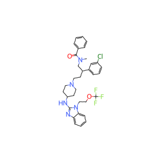 CN(CC(CCN1CCC(Nc2nc3ccccc3n2CCOC(F)(F)F)CC1)c1cccc(Cl)c1)C(=O)c1ccccc1